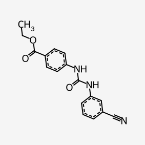 CCOC(=O)c1ccc(NC(=O)Nc2cccc(C#N)c2)cc1